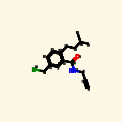 C#CCNC(=O)c1cc(CBr)ccc1CCC(C)C